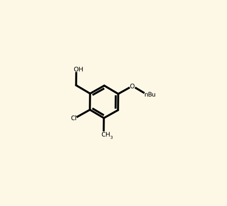 CCCCOc1cc(C)c(Cl)c(CO)c1